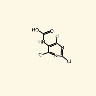 O=C(O)Nc1c(Cl)nc(Cl)nc1Cl